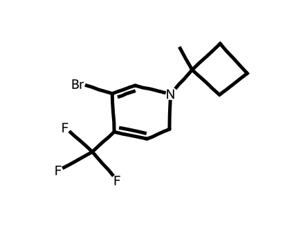 CC1(N2C=C(Br)C(C(F)(F)F)=CC2)CCC1